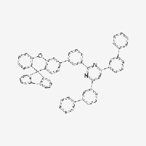 c1ccc(-c2cccc(-c3cc(-c4cccc(-c5ccccc5)c4)nc(-c4cccc(-c5ccc6c(c5)Oc5ccccc5C65c6ccccc6-c6ccccc65)c4)n3)c2)cc1